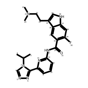 CC(C)n1cnnc1-c1cccc(NC(=O)c2cc3c(CCN(C)C)c[nH]c3cc2F)n1